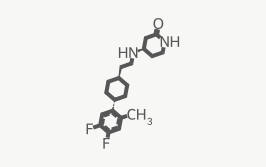 Cc1cc(F)c(F)cc1[C@H]1CC[C@H](CCN[C@@H]2CCNC(=O)C2)CC1